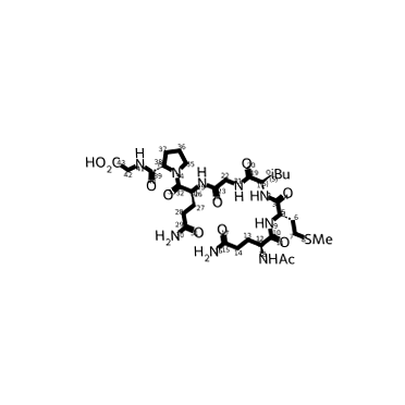 CC[C@H](C)[C@H](NC(=O)[C@H](CCSC)NC(=O)[C@H](CCC(N)=O)NC(C)=O)C(=O)NCC(=O)N[C@@H](CCC(N)=O)C(=O)N1CCC[C@H]1C(=O)NCC(=O)O